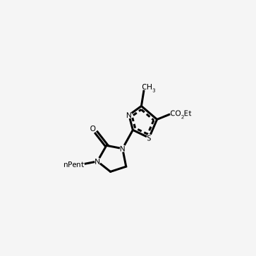 CCCCCN1CCN(c2nc(C)c(C(=O)OCC)s2)C1=O